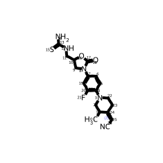 CC1CN(c2ccc(N3CC(CNC(N)=S)OC3=O)cc2F)CC/C1=C/C#N